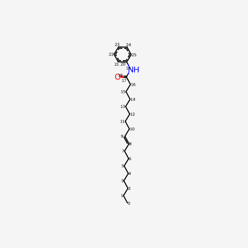 CCCCCCCCC=CCCCCCCCC(=O)Nc1ccccc1